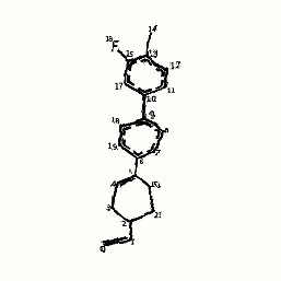 C=CC1CC=C(c2ccc(-c3ccc(C)c(F)c3)cc2)CC1